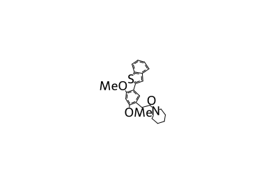 COc1cc(OC)c(-c2cc3ccccc3s2)cc1CC(=O)N1CCCCC1